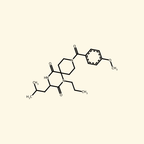 CCCN1C(=O)C(CC(C)C)NC(=O)C12CCN(C(=O)c1ccc(OC)cc1)CC2